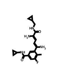 Cc1c(F)cc(C(=O)NC2CC2)cc1/C(N)=C/C=C(\N)C(=O)NCC1CC1